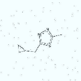 Cc1nnc(CC2CC2)s1